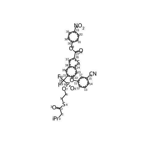 CC(C)CC(=O)SCCOP(=O)(Oc1cccc(C#N)c1)C(F)(F)c1ccc2sc(C(=O)Oc3ccc([N+](=O)[O-])cc3)cc2c1